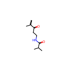 C=C(C)C(=O)CCNC(=O)C(C)C